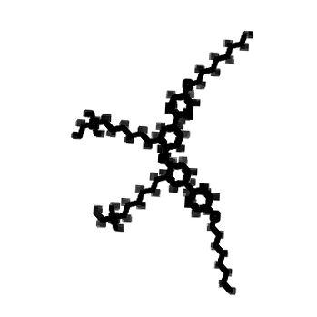 CCCCCCCCOc1cnc(-c2ccc(Oc3ccc(-c4ncc(OCCCCCCCC)cn4)cc3CCCCCC[Si](C)(C)CC)c(CCCCCC[Si](C)(C)CC)c2)nc1